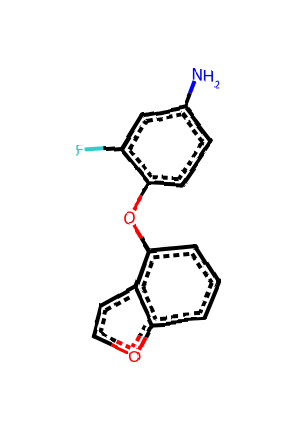 Nc1ccc(Oc2cccc3occc23)c(F)c1